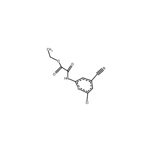 CCOC(=O)C(=O)Nc1cc(C#N)cc(Cl)n1